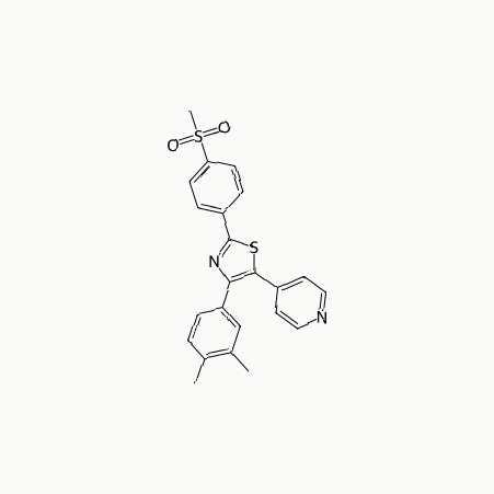 Cc1ccc(-c2nc(-c3ccc(S(C)(=O)=O)cc3)sc2-c2ccncc2)cc1C